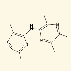 Cc1ccc(C)c(Nc2nc(C)c(C)nc2C)n1